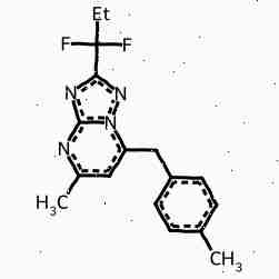 CCC(F)(F)c1nc2nc(C)cc(Cc3ccc(C)cc3)n2n1